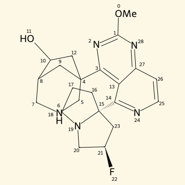 COc1nc(C23CNCC(C2)C(O)C3)c2c([C@@]34CCCN3C[C@H](F)C4)nccc2n1